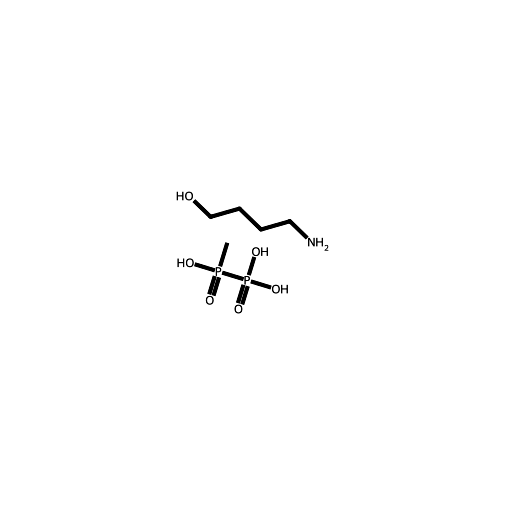 CP(=O)(O)P(=O)(O)O.NCCCCO